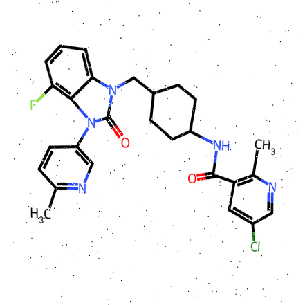 Cc1ccc(-n2c(=O)n(CC3CCC(NC(=O)c4cc(Cl)cnc4C)CC3)c3cccc(F)c32)cn1